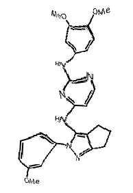 COc1cccc(-n2nc3c(c2Nc2ccnc(Nc4ccc(OC)c(OC)c4)n2)CCC3)c1